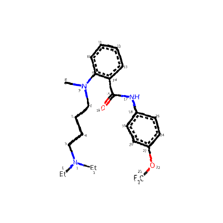 CCN(CC)CCCCN(C)c1ccccc1C(=O)Nc1ccc(OC(F)(F)F)cc1